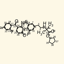 CC(C)(NCCc1cc(F)c(-n2c(N)c(C(=O)c3ccc(F)cc3F)ccc2=O)c(F)c1)C(=O)OC1CCCC1